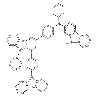 CC1(C)c2ccccc2-c2ccc(N(c3ccccc3)c3ccc(-c4cc(-c5ccc(-n6c7ccccc7c7ccccc76)cc5)c5c(c4)c4ccccc4n5-c4ccccc4)cc3)cc21